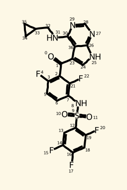 O=C(c1c(F)ccc(NS(=O)(=O)c2cc(F)c(F)cc2F)c1F)c1c[nH]c2ncnc(NCC3CC3)c12